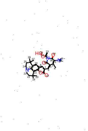 [C-]#[N+]C1=C(C)/C(=C/c2cc3cc4c5c(c3oc2=O)C(C)(C)CCN5CCC4(C)C)C(=O)N(C(=C)OO)C1=O